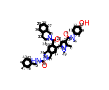 Cc1c(C(=O)N(C)c2ccc(O)cc2)cc(-c2cc3c(cc2C(=O)N2Cc4ccccc4C[C@H]2C)CN(C(=O)NCc2ccccc2)C3)n1C